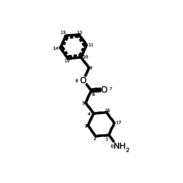 NC1CCC(CC(=O)OCc2ccccc2)CC1